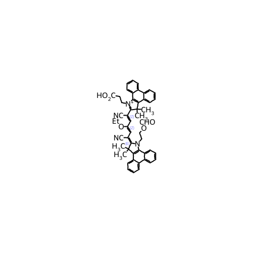 CCOC(=C\C(C#N)=C1/N(CCOC=O)c2c(c3ccccc3c3ccccc23)C1(C)C)/C=C(\C#N)C1=[N+](CCC(=O)O)c2c(c3ccccc3c3ccccc23)C1(C)C